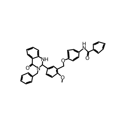 COc1ccc(C2Nc3ccccc3C(=O)N2Cc2ccccc2)cc1COc1ccc(NC(=O)c2ccccc2)cc1